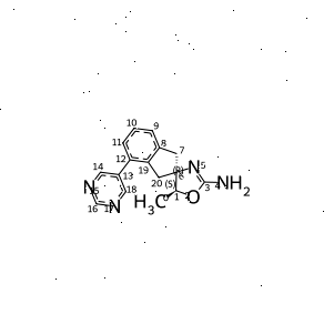 C[C@@H]1OC(N)=N[C@@]12Cc1cccc(-c3cncnc3)c1C2